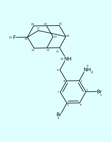 Nc1c(Br)cc(Br)cc1CNC1C2CC3CC1CC(F)(C3)C2